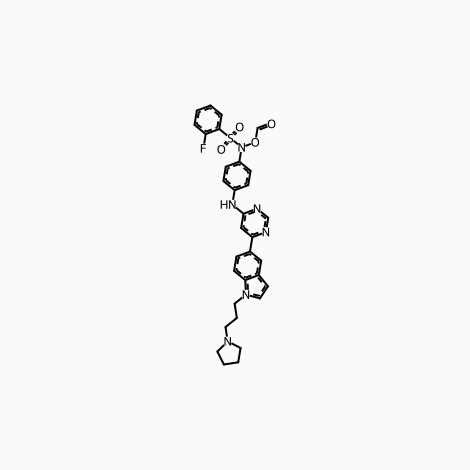 O=CON(c1ccc(Nc2cc(-c3ccc4c(ccn4CCCN4CCCC4)c3)ncn2)cc1)S(=O)(=O)c1ccccc1F